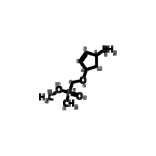 BC1C=CC(OCP(C)(=O)OC)C1